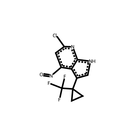 O=Nc1cc(Cl)nc2[nH]cc(C3(C(F)(F)F)CC3)c12